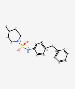 CC1CCN(S(=O)(=O)Nc2ccc(Cc3ccccc3)cc2)CC1